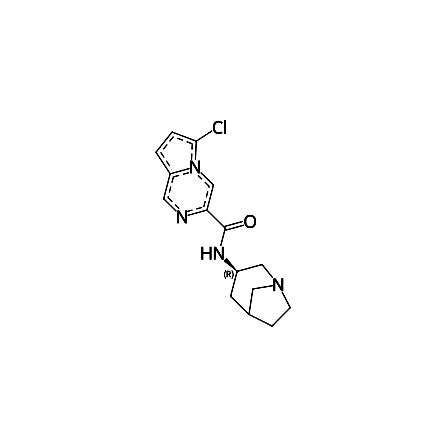 O=C(N[C@@H]1CC2CCN(C2)C1)c1cn2c(Cl)ccc2cn1